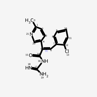 Cc1ccc(/C(=C\c2ccccc2Cl)C(=O)NC(=N)N)cn1